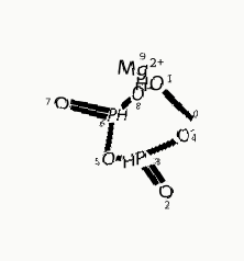 CO.O=[PH]([O-])O[PH](=O)[O-].[Mg+2]